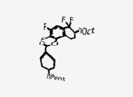 CCCCCCCCC1CCc2c(cc(F)c(F)c2OC(=O)C2CCC(CCCCC)CC2)C1(F)F